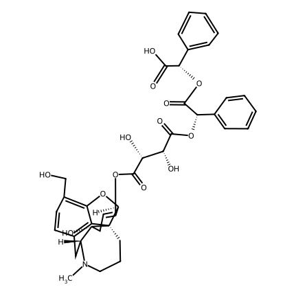 CN1CCC[C@]23c4c5ccc(CO)c4O[C@H]2C(OC(=O)[C@H](O)[C@@H](O)C(=O)O[C@H](C(=O)O[C@H](C(=O)O)c2ccccc2)c2ccccc2)=CC[C@@]3(O)[C@H]1C5